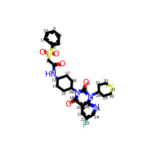 O=C(CS(=O)(=O)c1ccccc1)NC1CCC(n2c(=O)c3cc(F)cnc3n(C3CCSCC3)c2=O)CC1